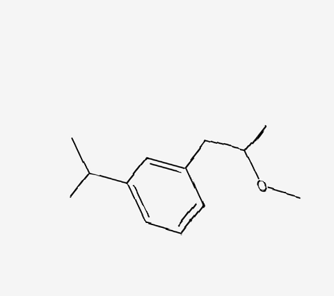 COC(C)Cc1cccc(C(C)C)c1